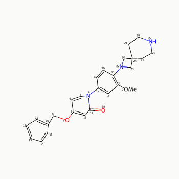 COc1cc(-n2ccc(OCc3ccccc3)cc2=O)ccc1N1CC2(CCNCC2)C1